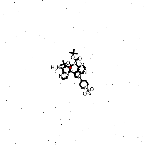 CC(C)(C)OC(=O)N(C(=O)OC(C)(C)C)c1ncnc2c1c(-c1ccc(N)c3nccn13)cn2C1CCN(S(C)(=O)=O)CC1